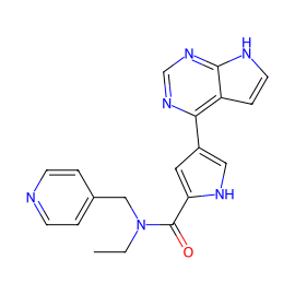 CCN(Cc1ccncc1)C(=O)c1cc(-c2ncnc3[nH]ccc23)c[nH]1